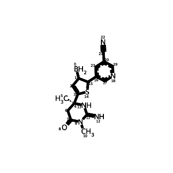 BC1C=C([C@]2(C)CC(=O)N(C)C(=N)N2)SC1c1cncc(C#N)c1